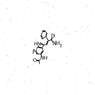 CC(=O)Nc1cnc2[nH]cc(/C=C(/C(N)=O)c3ccccc3)c2c1